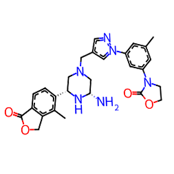 Cc1cc(N2CCOC2=O)cc(-n2cc(CN3C[C@@H](c4ccc5c(c4C)COC5=O)N[C@@H](N)C3)cn2)c1